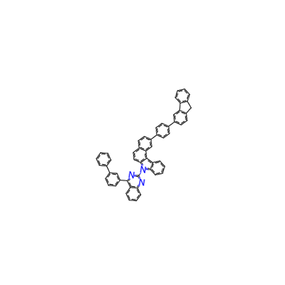 c1ccc(-c2cccc(-c3nc(-n4c5ccccc5c5c6cc(-c7ccc(-c8ccc9c(c8)-c8ccccc8C9)cc7)ccc6ccc54)nc4ccccc34)c2)cc1